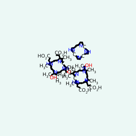 C1=Cc2cc3ccc(cc4nc(cc5ccc(cc1n2)[nH]5)C=C4)[nH]3.CC1=C(CCC(=O)O)c2cc3[nH]c(cc4nc(cc5[nH]c(cc1n2)c(C)c5C(C)OC(C)C1=C(C)c2cc5[nH]c(cc6nc(cc7[nH]c(cc1n2)c(C)c7CCC(=O)O)C(CCC(=O)O)=C6C)c(C)c5C(C)O)C(C)=C4C(C)O)c(C)c3CCC(=O)O